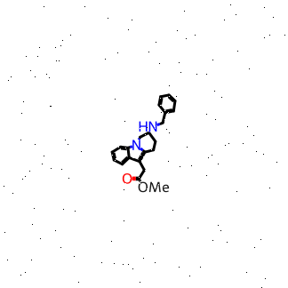 COC(=O)Cc1c2n(c3ccccc13)CC(NCc1ccccc1)CC2